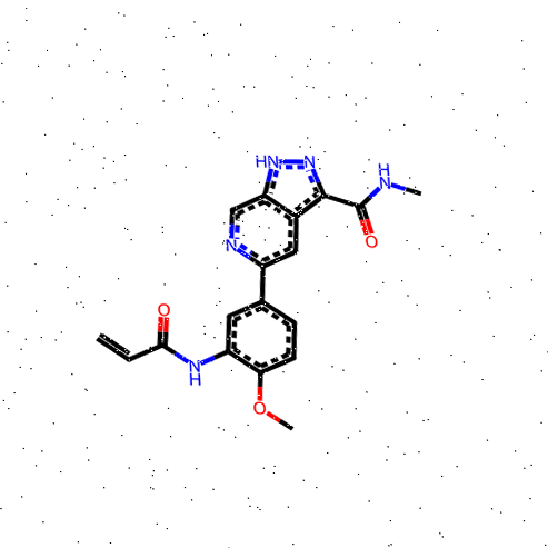 C=CC(=O)Nc1cc(-c2cc3c(C(=O)NC)n[nH]c3cn2)ccc1OC